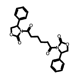 O=C(CCCCC(=O)N1C(=O)OCC1c1ccccc1)N1C(=O)OCC1c1ccccc1